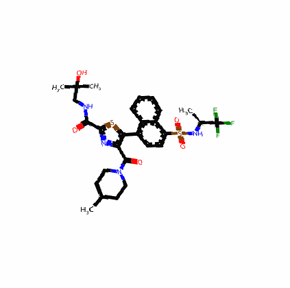 CC1CCN(C(=O)c2nc(C(=O)NCC(C)(C)O)sc2-c2ccc(S(=O)(=O)N[C@@H](C)C(F)(F)F)c3ccccc23)CC1